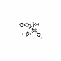 CS(=O)(=O)O.O=C(O)C1CN(S(=O)(=O)/C=C/c2ccc(Cl)cc2)CC(=O)N1CC1CCN(c2ccncc2)CC1